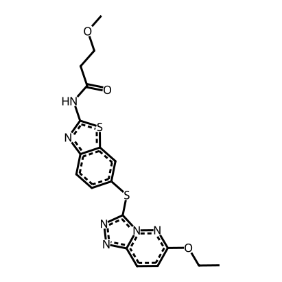 CCOc1ccc2nnc(Sc3ccc4nc(NC(=O)CCOC)sc4c3)n2n1